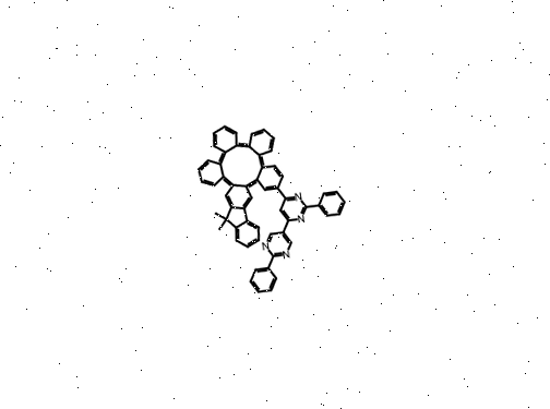 CC1(C)c2ccccc2-c2cc3c4cc(-c5cc(-c6cnc(-c7ccccc7)nc6)nc(-c6ccccc6)n5)ccc4c4ccccc4c4ccccc4c4ccccc4c3cc21